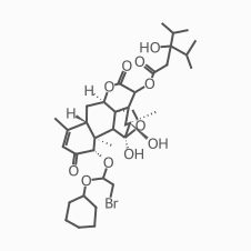 CC1=CC(=O)[C@@H](OC(CBr)OC2CCCCC2)[C@]2(C)C3[C@]45CO[C@]3(O)[C@H](O)[C@H](C)C4C(OC(=O)CC(O)(C(C)C)C(C)C)C(=O)O[C@@H]5C[C@@H]12